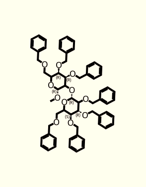 CO[C@@H]1OC(COCc2ccccc2)[C@@H](OCc2ccccc2)[C@@H](OCc2ccccc2)C1O[C@H]1OC(COCc2ccccc2)[C@H](OCc2ccccc2)[C@@H](OCc2ccccc2)C1OCc1ccccc1